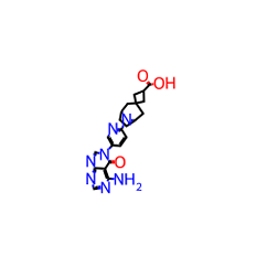 Nc1ncnc2ncn(-c3ccc(N4C5CCC4CC4(CC(C(=O)O)C4)C5)nc3)c(=O)c12